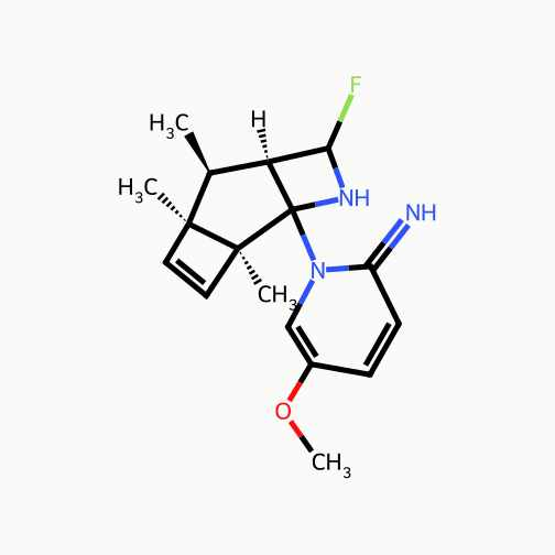 COc1ccc(=N)n(C23NC(F)[C@@H]2[C@H](C)[C@]2(C)C=C[C@]32C)c1